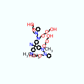 CC(OCCOCCO)N(CCN(CCOCCO)c1ccccc1)c1ccc(C(C#N)(c2ccc(N(C)C)cc2)c2ccc(N(CCOCCOCCO)CCN(CCOCCO)c3ccccc3)cc2)cc1